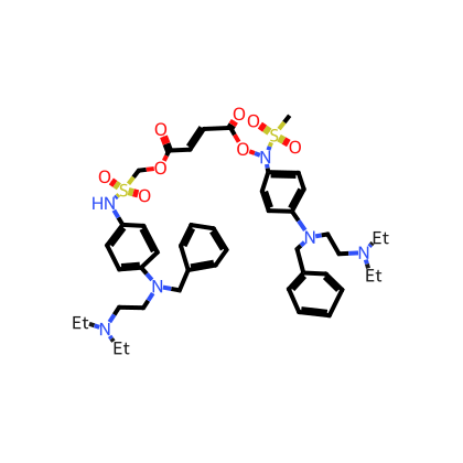 CCN(CC)CCN(Cc1ccccc1)c1ccc(NS(=O)(=O)COC(=O)/C=C/C(=O)ON(c2ccc(N(CCN(CC)CC)Cc3ccccc3)cc2)S(C)(=O)=O)cc1